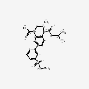 CNS(=O)(=O)c1cccc(-c2ccc3c(c2)N(C(=O)O)C[C@H](C)N3C(=O)CC(C)C)c1